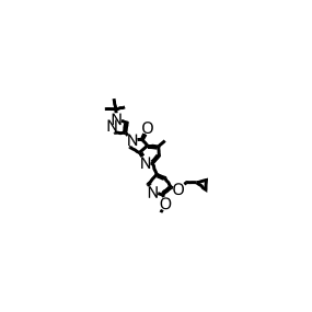 COc1ncc(-c2cc(C)c3c(n2)CN(c2cnn(C(C)(C)C)c2)C3=O)cc1OCC1CC1